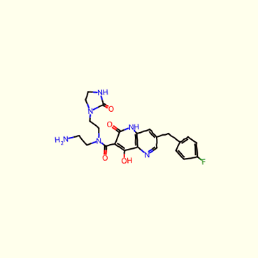 NCCN(CCN1CCNC1=O)C(=O)c1c(O)c2ncc(Cc3ccc(F)cc3)cc2[nH]c1=O